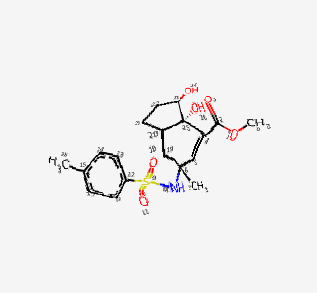 COC(=O)C1=C[C@](C)(NS(=O)(=O)c2ccc(C)cc2)CC2CC[C@@H](O)[C@@]12O